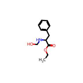 CCOC(=O)C(Cc1ccccc1)NCO